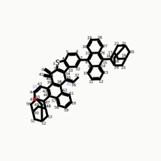 C=Cc1sc2ccc(-c3c4ccccc4c(C4C5CC6CC(C5)CC4C6)c4ccccc34)cc2c1/C(=C\C)c1c(C=C)c(/C=C\C)c(C2C3CC4CC(C3)CC2C4)c2ccccc12